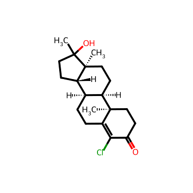 CC1(O)CC[C@H]2[C@@H]3CCC4=C(Cl)C(=O)CC[C@]4(C)[C@@H]3CC[C@@]21C